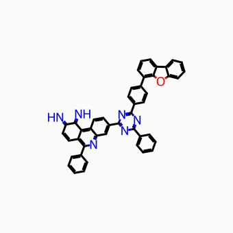 N=C1C=Cc2c(-c3ccccc3)nc3cc(-c4nc(-c5ccccc5)nc(-c5ccc(-c6cccc7c6oc6ccccc67)cc5)n4)ccc3c2C1=N